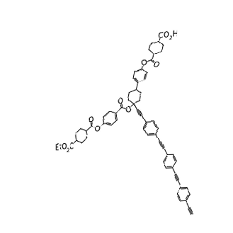 C#Cc1ccc(C#Cc2ccc(C#Cc3ccc(C#CC4(OC(=O)c5ccc(OC(=O)C6CCC(C(=O)OCC)CC6)cc5)CCC(c5ccc(OC(=O)C6CCC(C(=O)O)CC6)cc5)CC4)cc3)cc2)cc1